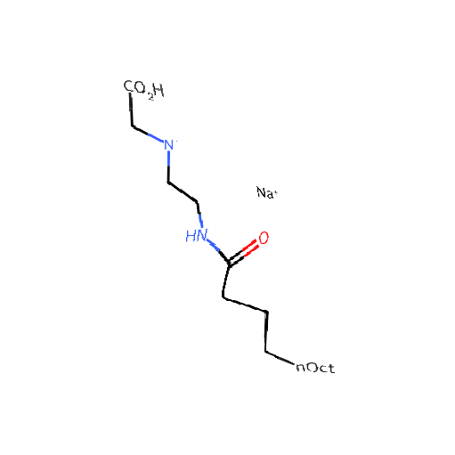 CCCCCCCCCCCC(=O)NCC[N-]CC(=O)O.[Na+]